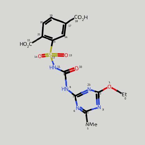 CCOc1nc(NC)nc(NC(=O)NS(=O)(=O)c2cc(C(=O)O)ccc2C(=O)O)n1